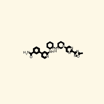 Cc1nc(-c2ncc(N3CCC[C@H](N[C@@H]4CCCC[C@H]4Nc4cc(-c5cccc(C(N)=O)c5)ccn4)C3)cn2)no1